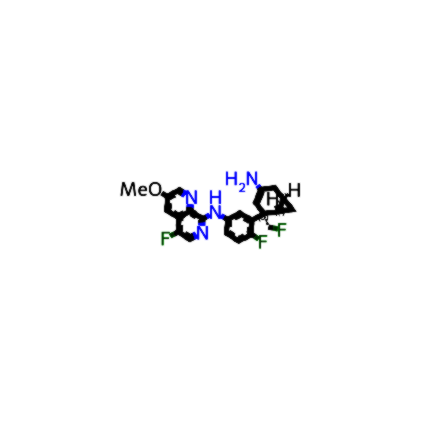 COc1cnc2c(Nc3ccc(F)c([C@@]4(CF)C=C(N)C[C@@H]5C[C@@H]54)c3)ncc(F)c2c1